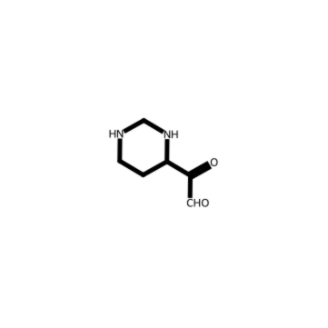 O=CC(=O)C1CCNCN1